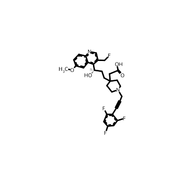 COc1ccc2ncc(CF)c([C@@H](O)CCC3(CC(=O)O)CCN(CC#Cc4c(F)cc(F)cc4F)CC3)c2c1